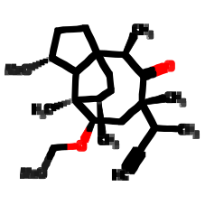 C#CC(C)[C@]1(C)C[C@@H](OCOC)[C@@]2(C)C3[C@H](OC)CCC3(CC[C@H]2C)[C@@H](C)C1=O